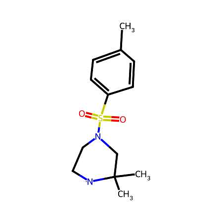 Cc1ccc(S(=O)(=O)N2CC[N]C(C)(C)C2)cc1